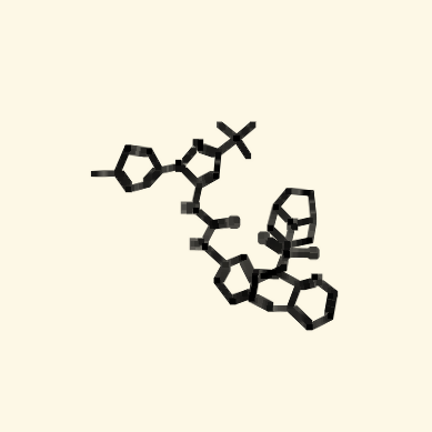 Cc1ccc(-n2nc(C(C)(C)C)cc2NC(=O)Nc2cccc(CC3CC4CCC(C3)N4S(=O)(=O)c3cccc4cccnc34)c2)cc1